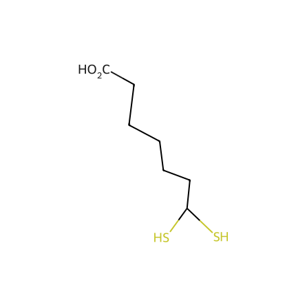 O=C(O)CCCCCC(S)S